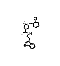 O=C(NCCc1c[nH]c2ccccc12)C1CC(=O)N(Cc2ccccc2Cl)C1